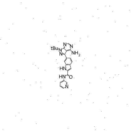 CC(C)(C)n1nc(-c2ccc3cc(C(=O)Nc4cccnc4)[nH]c3c2)c2c(N)ncnc21